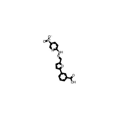 O=C(O)c1cccc(-c2ccc(/C=N/Nc3ccc([N+](=O)[O-])cn3)o2)c1